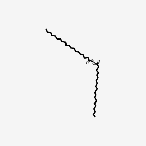 CCCCCC=CCC=CCCCCCCCCCC(=O)OOC(=O)CCCCCCCCCC=CCC=CCCCCC